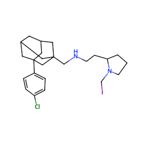 Clc1ccc(C23CC4CC(CC(CNCCC5CCCN5CI)(C4)C2)C3)cc1